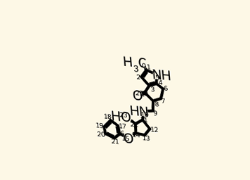 Cc1cc2c([nH]1)CCC(CNC1CCC(Oc3ccccc3)C1O)C2=O